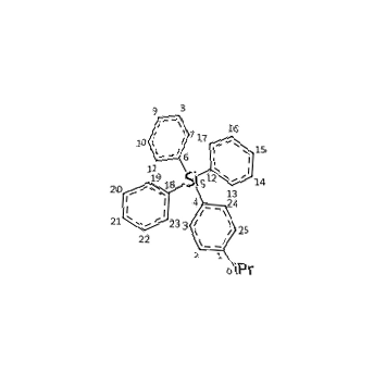 CC(C)c1ccc([Si](c2ccccc2)(c2ccccc2)c2ccccc2)cc1